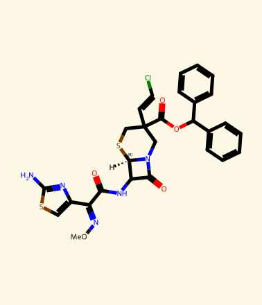 CON=C(C(=O)NC1C(=O)N2CC(C=CCl)(C(=O)OC(c3ccccc3)c3ccccc3)CS[C@H]12)c1csc(N)n1